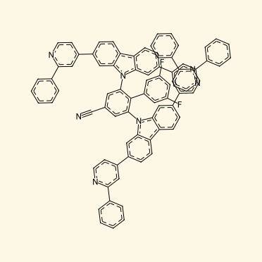 N#Cc1cc(-n2c3cc(-c4ccnc(-c5ccccc5)c4)ccc3c3ccc(-c4ccnc(-c5ccccc5)c4)cc32)c(-c2cc(F)cc(F)c2)c(-n2c3cc(-c4ccnc(-c5ccccc5)c4)ccc3c3ccc(-c4ccnc(-c5ccccc5)c4)cc32)c1